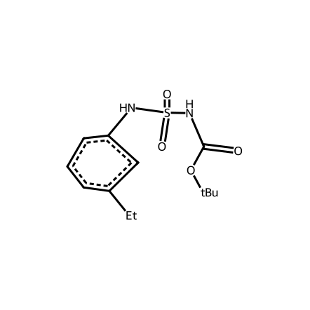 CCc1cccc(NS(=O)(=O)NC(=O)OC(C)(C)C)c1